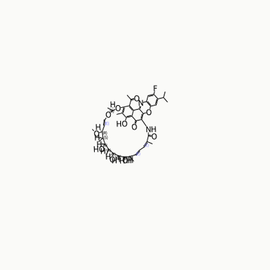 CO[C@H]1/C=C/O[C@@H](C)Oc2c(C)c(O)c3c(=O)c(c4oc5cc(C(C)C)c(F)cc5nc-4c3c2C(C)=O)NC(=O)/C(C)=C\C=C\[C@H](C)[C@H](O)[C@@H](C)[C@@H](O)[C@@H](C)[C@H](O)[C@@H]1C